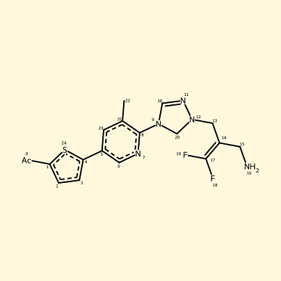 CC(=O)c1ccc(-c2cnc(N3C=NN(CC(CN)=C(F)F)C3)c(C)c2)s1